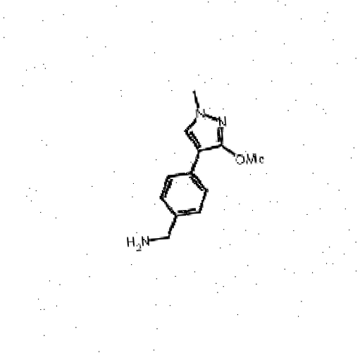 COc1nn(C)cc1-c1ccc(CN)cc1